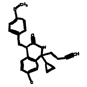 C#CCCC1(C2CC2)NC(=O)N(Cc2ccc(OC)cc2)c2ccc(Cl)cc21